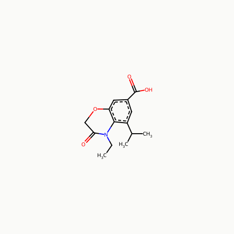 CCN1C(=O)COc2cc(C(=O)O)cc(C(C)C)c21